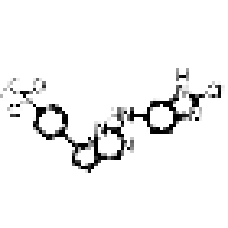 CS(=O)(=O)c1ccc(-c2ccc3cnc(Nc4ccc5nc(C(F)(F)F)[nH]c5c4)nn23)cc1